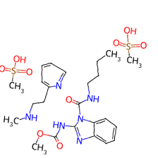 CCCCNC(=O)n1c(NC(=O)OC)nc2ccccc21.CNCCc1ccccn1.CS(=O)(=O)O.CS(=O)(=O)O